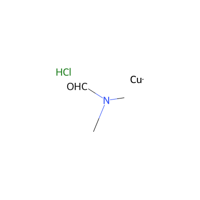 CN(C)C=O.Cl.[Cu]